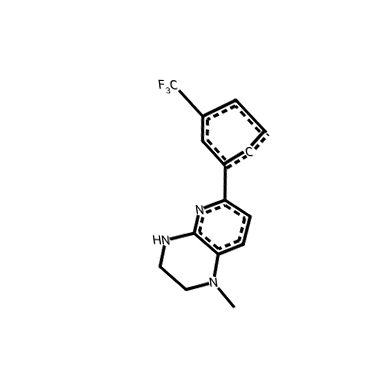 CN1CCNc2nc(-c3cccc(C(F)(F)F)c3)ccc21